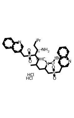 CC(C)C[C@H](N)C(CC(C)CC(CS(=O)(=O)Cc1cnc2ccccc2c1)N(C=O)OC(C)(C)C)S(=O)(=O)Cc1cnc2ccccc2c1.Cl.Cl